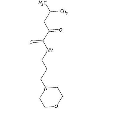 CC(C)CC(=O)C(=S)NCCCN1CCOCC1